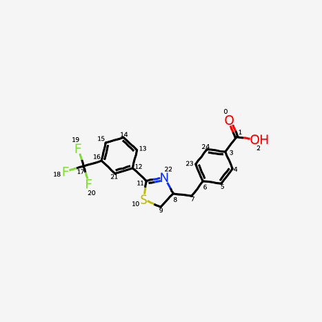 O=C(O)c1ccc(CC2CSC(c3cccc(C(F)(F)F)c3)=N2)cc1